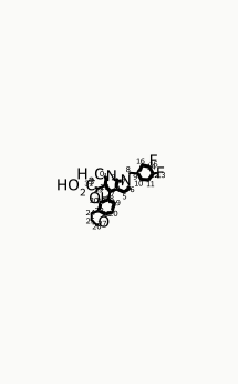 Cc1nc2c(ccn2Cc2ccc(F)c(F)c2)c(-c2ccc3c(c2)CCCO3)c1C(O)C(=O)O